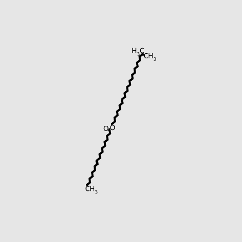 CCCCCCCCC=CCCCCCCCCCC(=O)OCCCCCCCCCCCCCCCCCCCCCCCC(C)C